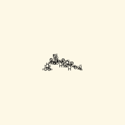 COc1ccc(CNC(=O)C(=O)[C@@H]2CC(F)(F)CN2C(=O)CNC(=O)c2ccnc3c(NC(=O)CCOCCN(C)C)cccc23)cc1OC